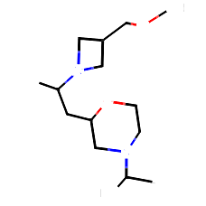 COCC1CN(C(C)CC2CN(C(C)C)CCO2)C1